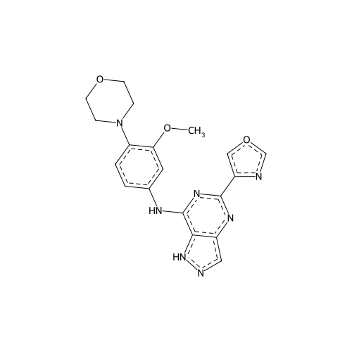 COc1cc(Nc2nc(-c3cocn3)nc3cn[nH]c23)ccc1N1CCOCC1